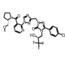 COC[C@@H]1CCCN1C(=O)c1cccnc1-n1cnc(Cn2nc(-c3ccc(Cl)cc3)n(C[C@H](O)C(F)(F)F)c2=O)n1